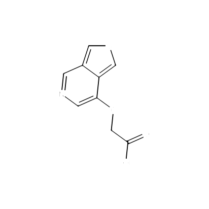 O=C(O)COc1cncc2cocc12